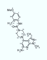 COc1ccc(NC(=O)N2CCN(c3cc(N)nc4c3cnn4C)[C@@H](C)C2)c(C)c1